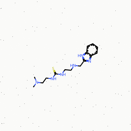 CN(C)CCNC(=S)NCCNCc1nc2ccccc2[nH]1